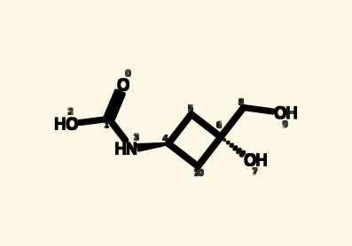 O=C(O)N[C@H]1C[C@@](O)(CO)C1